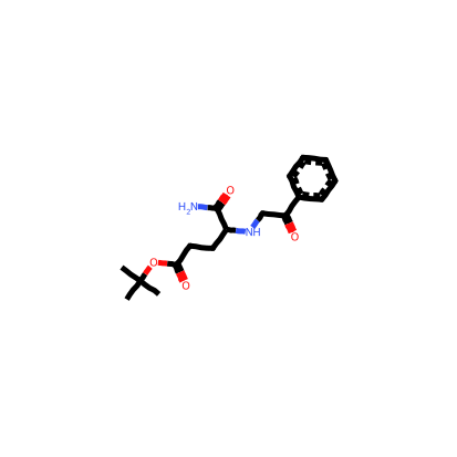 CC(C)(C)OC(=O)CCC(NCC(=O)c1ccccc1)C(N)=O